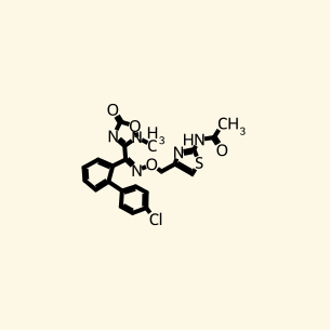 CC(=O)Nc1nc(CON=C(c2ccccc2-c2ccc(Cl)cc2)c2nc(=O)on2C)cs1